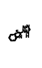 c1ccc2sc(-[n+]3nnc[nH]3)nc2c1